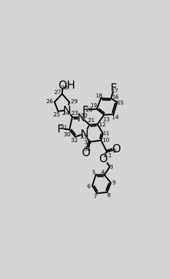 O=C(OCc1ccccc1)c1cc(-c2ccc(F)cc2F)c2nc(N3CCC(O)C3)c(F)cn2c1=O